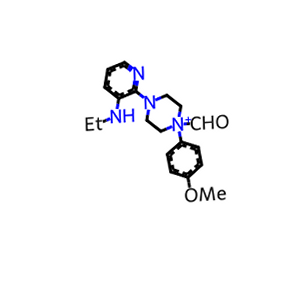 CCNc1cccnc1N1CC[N+](C=O)(c2ccc(OC)cc2)CC1